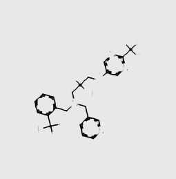 CC(C)(COc1cnc(C(F)(F)F)nc1)CN(Cc1cccnc1)Cc1ccccc1C(F)(F)F